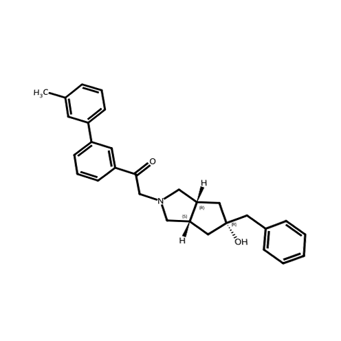 Cc1cccc(-c2cccc(C(=O)CN3C[C@@H]4C[C@@](O)(Cc5ccccc5)C[C@@H]4C3)c2)c1